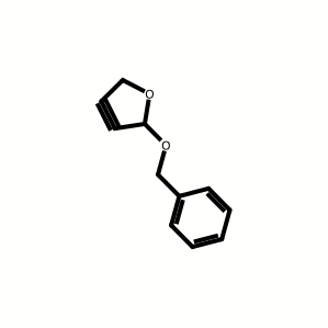 C1#CC(OCc2ccccc2)OC1